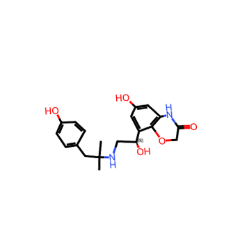 CC(C)(Cc1ccc(O)cc1)NC[C@H](O)c1cc(O)cc2c1OCC(=O)N2